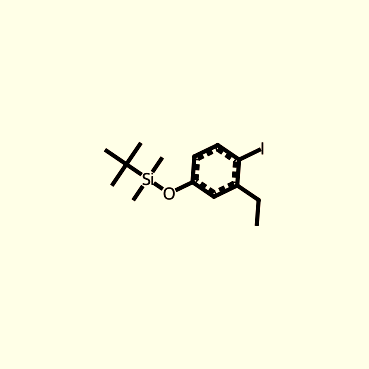 CCc1cc(O[Si](C)(C)C(C)(C)C)ccc1I